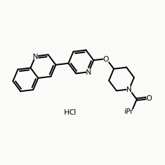 CC(C)C(=O)N1CCC(Oc2ccc(-c3cnc4ccccc4c3)cn2)CC1.Cl